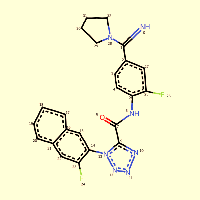 N=C(c1ccc(NC(=O)c2nnnn2-c2cc3ccccc3cc2F)c(F)c1)N1CCCC1